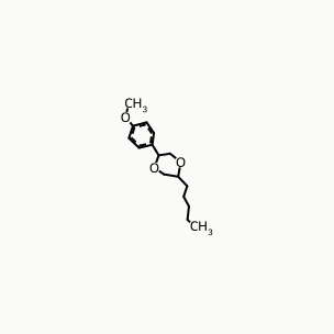 CCCCCC1COC(c2ccc(OC)cc2)CO1